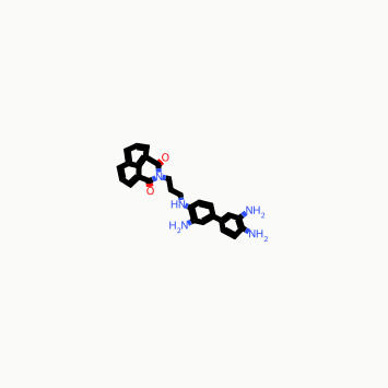 Nc1ccc(-c2ccc(NCCCN3C(=O)c4cccc5cccc(c45)C3=O)c(N)c2)cc1N